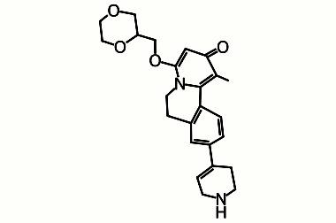 Cc1c2n(c(OCC3COCCO3)cc1=O)CCc1cc(C3=CCNCC3)ccc1-2